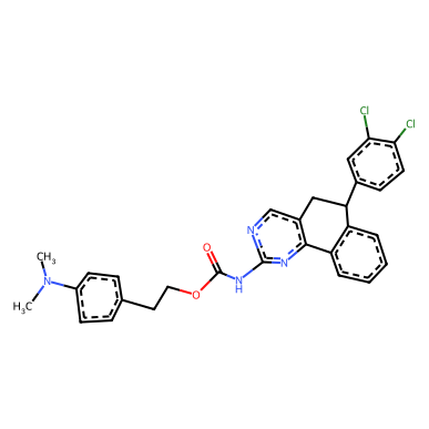 CN(C)c1ccc(CCOC(=O)Nc2ncc3c(n2)-c2ccccc2C(c2ccc(Cl)c(Cl)c2)C3)cc1